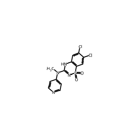 CN(C1=NS(=O)(=O)c2cc(Cl)c(Cl)cc2N1)c1ccncc1